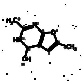 CC1=Nc2oc(C)cc2C(O)N1